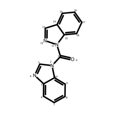 O=C(n1cnc2ccccc21)n1ncc2ccccc21